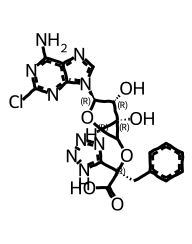 Nc1nc(Cl)nc2c1ncn2[C@@H]1O[C@@H]2C(O[C@@](Cc3ccccc3)(C(=O)O)c3nnn[nH]3)[C@]2(O)[C@H]1O